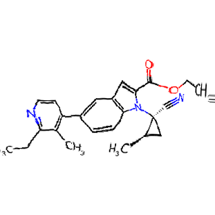 CCOC(=O)c1cc2cc(-c3ccnc(CC)c3C)ccc2n1[C@@]1(C#N)C[C@H]1C